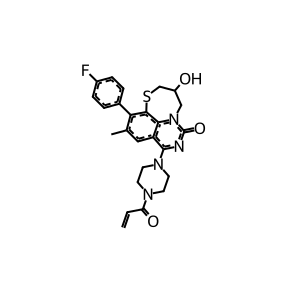 C=CC(=O)N1CCN(c2nc(=O)n3c4c(c(-c5ccc(F)cc5)c(C)cc24)SCC(O)C3)CC1